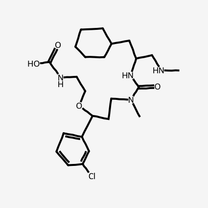 CNCC(CC1CCCCC1)NC(=O)N(C)CCC(OCCNC(=O)O)c1cccc(Cl)c1